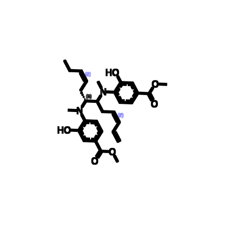 C=C/C=C\CC([C@@H](C/C=C\CC)N(C)c1ccc(C(=O)OC)cc1O)N(C)c1ccc(C(=O)OC)cc1O